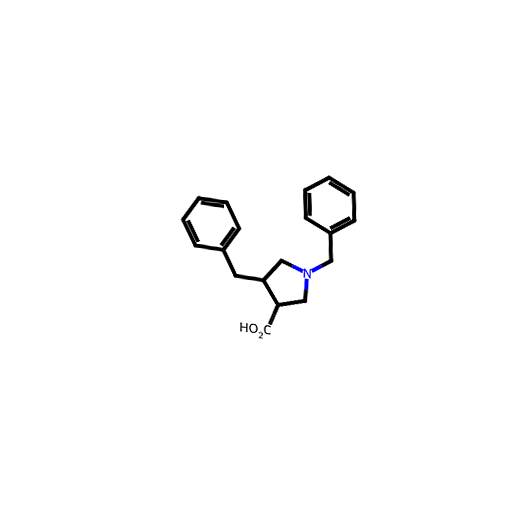 O=C(O)C1CN(Cc2ccccc2)CC1Cc1ccccc1